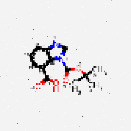 CC(C)(C)OC(=O)n1cnc2cccc(C(=O)O)c21